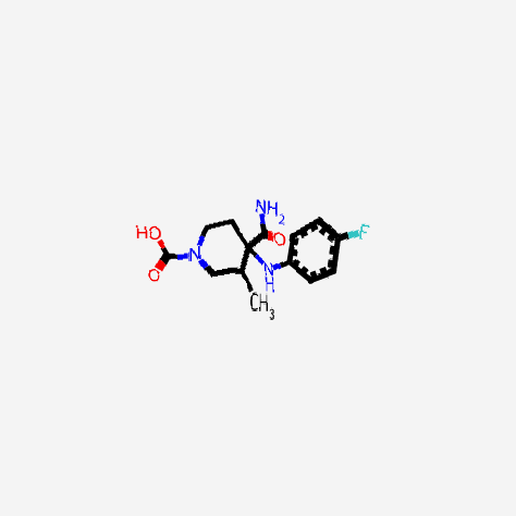 CC1CN(C(=O)O)CCC1(Nc1ccc(F)cc1)C(N)=O